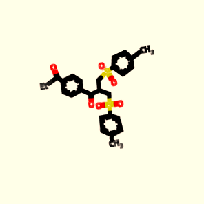 CCC(=O)c1ccc(C(=O)C(CS(=O)(=O)c2ccc(C)cc2)CS(=O)(=O)c2ccc(C)cc2)cc1